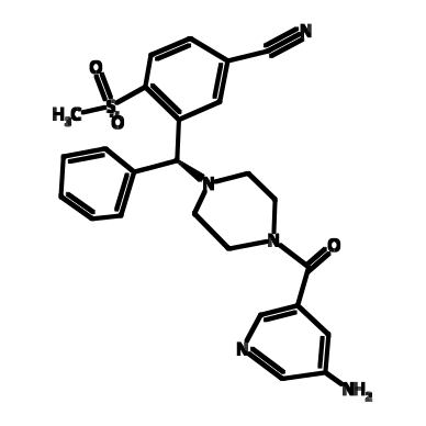 CS(=O)(=O)c1ccc(C#N)cc1[C@H](c1ccccc1)N1CCN(C(=O)c2cncc(N)c2)CC1